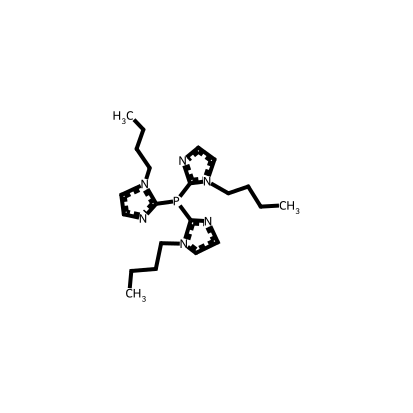 CCCCn1ccnc1P(c1nccn1CCCC)c1nccn1CCCC